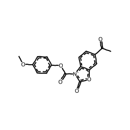 COc1ccc(OC(=O)n2c(=O)oc3cc(C(C)=O)ccc32)cc1